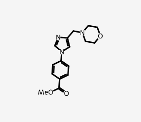 COC(=O)c1ccc(-n2cnc(CN3CCOCC3)c2)cc1